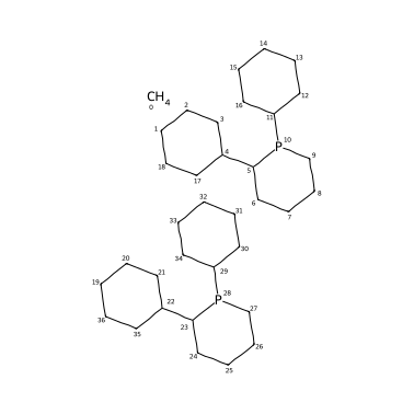 C.C1CCC(C2CCCCP2C2CCCCC2)CC1.C1CCC(C2CCCCP2C2CCCCC2)CC1